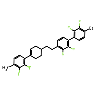 CCc1ccc(-c2ccc(CCC3CC=C(c4ccc(C)c(F)c4F)CC3)c(F)c2F)c(F)c1F